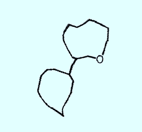 C1CCC(C2CCCCCO2)CC1